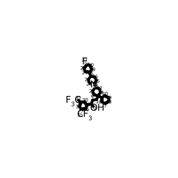 OC(CCC1(c2ccccc2)CCC(N2CCC(c3ccc(F)cc3)CC2)CC1)c1cc(C(F)(F)F)cc(C(F)(F)F)c1